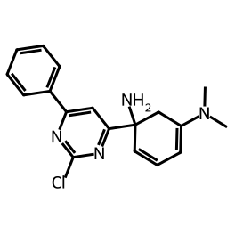 CN(C)C1=CC=CC(N)(c2cc(-c3ccccc3)nc(Cl)n2)C1